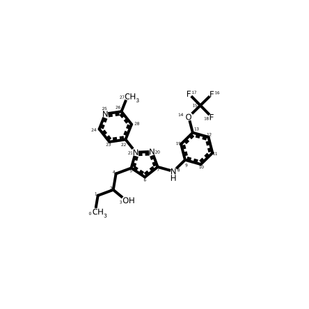 CCC(O)Cc1cc(Nc2cccc(OC(F)(F)F)c2)nn1-c1ccnc(C)c1